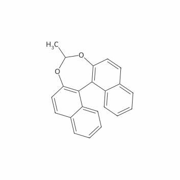 CC1Oc2ccc3ccccc3c2-c2c(ccc3ccccc23)O1